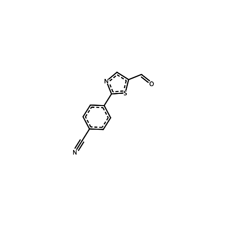 N#Cc1ccc(-c2ncc(C=O)s2)cc1